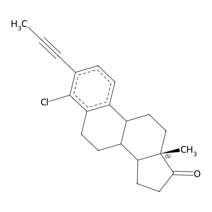 CC#Cc1ccc2c(c1Cl)CCC1C2CC[C@]2(C)C(=O)CCC12